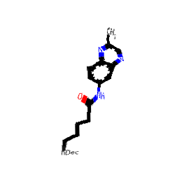 CCCCCCCCCCCCCCC(=O)Nc1ccc2nc(C)cnc2c1